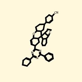 N#CC1C=CC(C2CCC3OC4C=CC(c5nc(C6=CCCCC6)nc(-c6ccccc6)n5)CC4C4(C3C2)C2CCCCC2C2CCCCC24)CC1